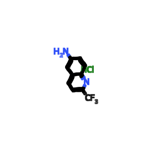 Cl.Nc1ccc2nc(C(F)(F)F)ccc2c1